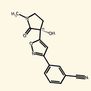 CN1CC[C@@](O)(c2cc(-c3cccc(C#N)c3)no2)C1=O